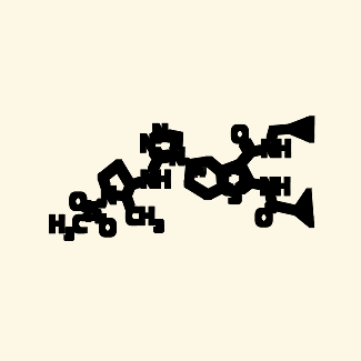 CC1C(Nc2nncn2[C@H]2CCc3sc(NC(=O)C4CC4)c(C(=O)NCC4CC4)c3C2)CCN1S(C)(=O)=O